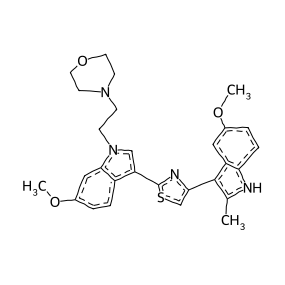 COc1ccc2[nH]c(C)c(-c3csc(-c4cn(CCN5CCOCC5)c5cc(OC)ccc45)n3)c2c1